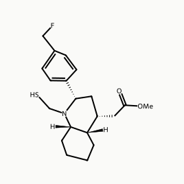 COC(=O)C[C@H]1C[C@@H](c2ccc(CF)cc2)N(CS)[C@H]2CCCC[C@@H]12